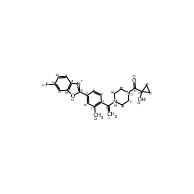 C=C(c1ccc(-c2nc3ccc(F)cc3o2)cc1C)N1CCN(C(=O)C2(O)CC2)CC1